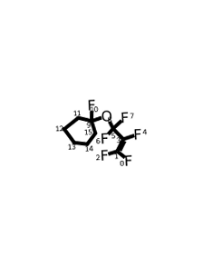 FC(F)=C(F)C(F)(F)OC1(F)CCCCC1